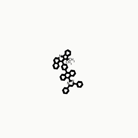 CC1(C)c2ccccc2-c2nc3ccc4ccccc4c3c(-c3ccc(-c4c5ccccc5c(-c5nc(-c6ccccc6)cc(-c6ccccc6)n5)c5ccccc45)cc3)c21